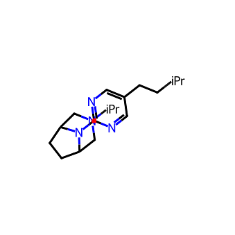 CC(C)CCc1cnc(N2C3CCC2CN(C(C)C)C3)nc1